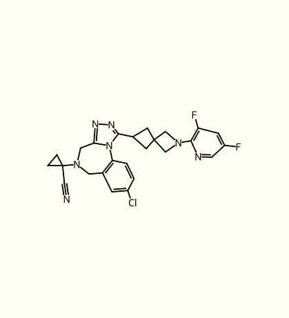 N#CC1(N2Cc3cc(Cl)ccc3-n3c(nnc3C3CC4(C3)CN(c3ncc(F)cc3F)C4)C2)CC1